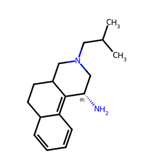 CC(C)CN1CC2CCC3C=CC=CC3=C2[C@@H](N)C1